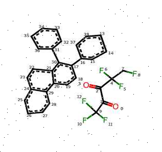 O=C(C(=O)C(F)(F)CF)C(F)(F)F.c1ccc(-c2ccc3c(ccc4ccccc43)c2-c2ccccc2)cc1